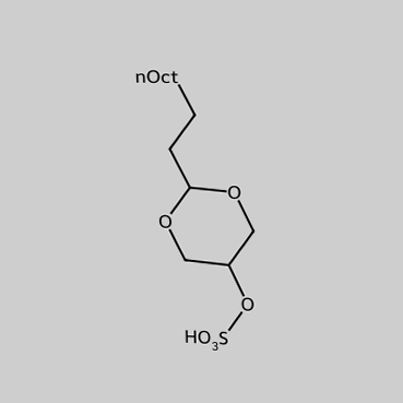 CCCCCCCCCCC1OCC(OS(=O)(=O)O)CO1